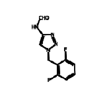 O=CNc1cn(Cc2c(F)cccc2F)nn1